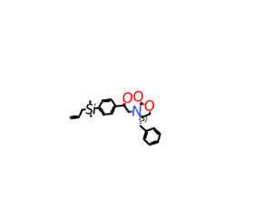 C=CC[Si](C)(C)c1ccc(C(=O)CN2C(=O)OC[C@@H]2Cc2ccccc2)cc1